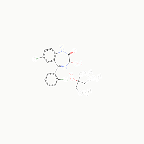 O=C(O)CC(O)(CC(=O)O)C(=O)O.O=C1Nc2ccc(Cl)cc2C(c2ccccc2Cl)=NC1O